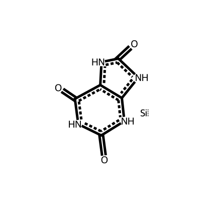 O=c1[nH]c(=O)c2[nH]c(=O)[nH]c2[nH]1.[Si]